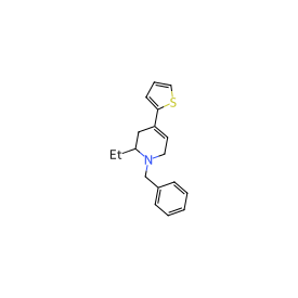 CCC1CC(c2cccs2)=CCN1Cc1ccccc1